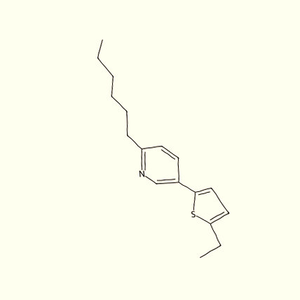 CCCCCCc1ccc(-c2ccc(CC)s2)cn1